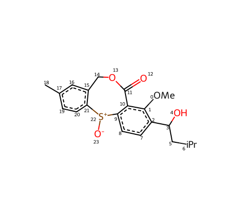 COc1c(C(O)CC(C)C)ccc2c1C(=O)OCc1cc(C)ccc1[S+]2[O-]